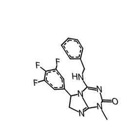 CN1C(=O)N=C(NCc2ccccc2)N2C1=NCC2c1cc(F)c(F)c(F)c1